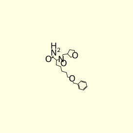 NC(=O)C1CC(CCCOCc2ccccc2)ON1CC1CCOC1